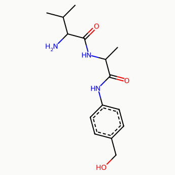 CC(NC(=O)C(N)C(C)C)C(=O)Nc1ccc(CO)cc1